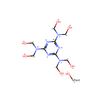 CCCCCO.OCN(CO)c1nc(N(CO)CO)nc(N(CO)CO)n1